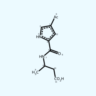 CC(=O)c1c[nH]c(C(=O)NC(C)CC(=O)O)c1